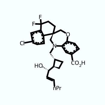 CCC/C=C/[C@H](O)[C@@H]1CC[C@H]1CN1C[C@@]2(CCC(F)(F)c3cc(Cl)ccc32)COc2ccc(C(=O)O)cc21